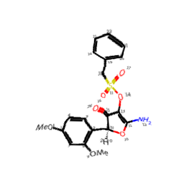 [2H][C@@]1(c2ccc(OC)cc2OC)OC(N)=C(OS(=O)(=O)Cc2ccccc2)C1=O